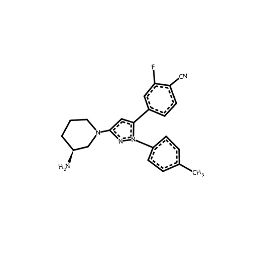 Cc1ccc(-n2nc(N3CCC[C@H](N)C3)cc2-c2ccc(C#N)c(F)c2)cc1